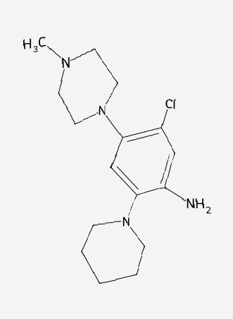 CN1CCN(c2cc(N3CCCCC3)c(N)cc2Cl)CC1